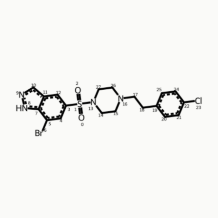 O=S(=O)(c1cc(Br)c2[nH]ncc2c1)N1CCN(CCc2ccc(Cl)cc2)CC1